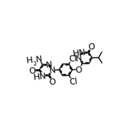 CC(C)c1cc(Oc2c(Cl)cc(-n3nc(N)c(=O)[nH]c3=O)cc2Cl)n[nH]c1=O